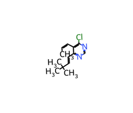 C/C=C\c1c(Cl)ncnc1/C=C/C(C)(C)C